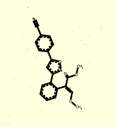 CO/C=C(/C(=O)OC)c1ccccc1-c1cc(-c2ccc(C#N)cc2)on1